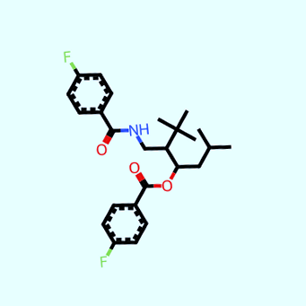 CC(C)CC(OC(=O)c1ccc(F)cc1)C(CNC(=O)c1ccc(F)cc1)C(C)(C)C